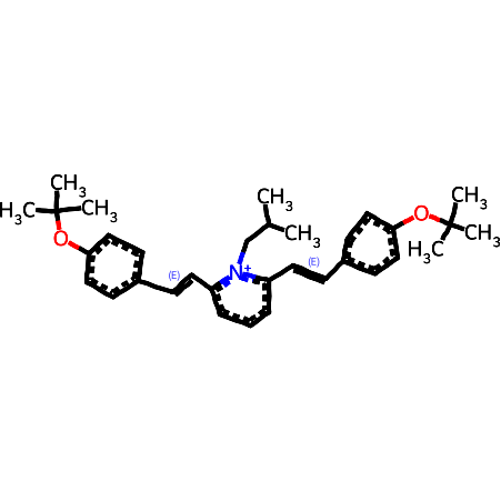 CC(C)C[n+]1c(/C=C/c2ccc(OC(C)(C)C)cc2)cccc1/C=C/c1ccc(OC(C)(C)C)cc1